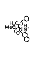 COC(=O)[C@@H](NC(=O)c1cc2ccccc2cc1N)[C@@H](C)OCc1ccccc1